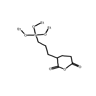 CCO[Si](CCCC1CCC(=O)OC1=O)(OCC)OCC